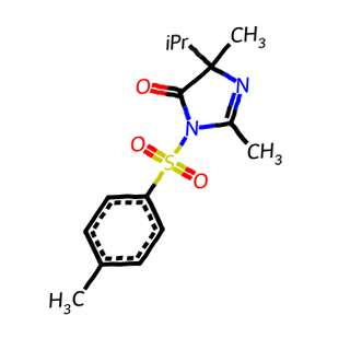 CC1=NC(C)(C(C)C)C(=O)N1S(=O)(=O)c1ccc(C)cc1